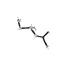 CCC(C)O[SiH2]OC(C)=O